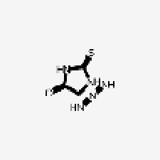 N=[N+]=N.O=C1CNC(=S)N1